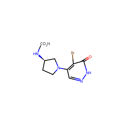 O=C(O)N[C@@H]1CCN(c2cn[nH]c(=O)c2Br)C1